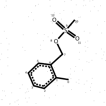 Cc1ccccc1COS(C)(=O)=O